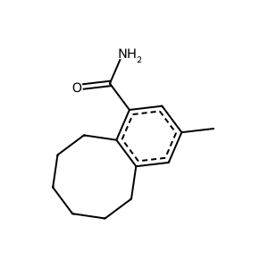 Cc1cc2c(c(C(N)=O)c1)CCCCCC2